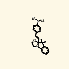 CCN(CC)c1ccc(/C=C/C23OCCN2c2ccccc2C3(C)C)cc1